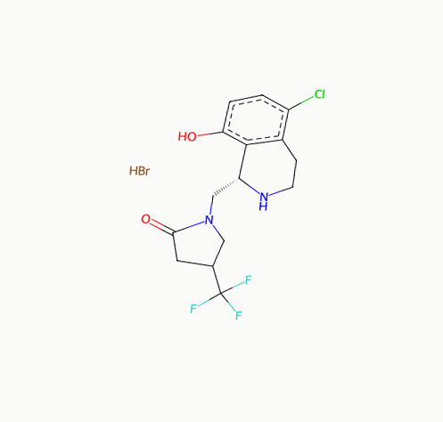 Br.O=C1CC(C(F)(F)F)CN1C[C@H]1NCCc2c(Cl)ccc(O)c21